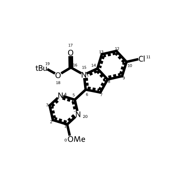 COc1ccnc(-c2cc3cc(Cl)ccc3n2C(=O)OC(C)(C)C)n1